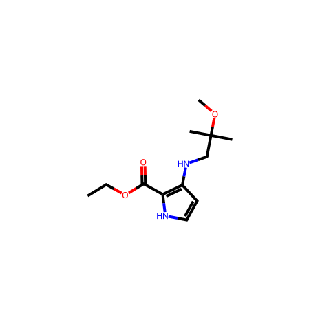 CCOC(=O)c1[nH]ccc1NCC(C)(C)OC